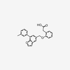 Cc1cccc(-c2cc(COc3ccccc3CC(=O)O)cc3ccoc23)c1